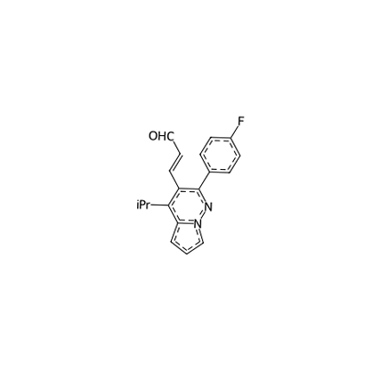 CC(C)c1c(C=CC=O)c(-c2ccc(F)cc2)nn2cccc12